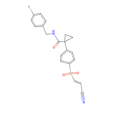 N#C/C=C/S(=O)(=O)c1ccc(C2(C(=O)NCc3ccc(F)cc3)CC2)cc1